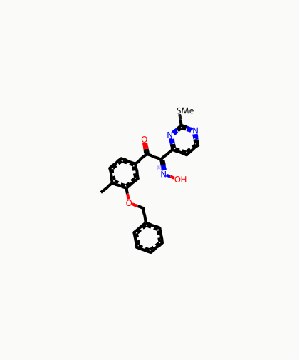 CSc1nccc(/C(=N\O)C(=O)c2ccc(C)c(OCc3ccccc3)c2)n1